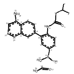 CC(C)CC(=O)Nc1ccc(B(O)O)cc1-c1ccc2c(N)cnnc2c1.O=CO